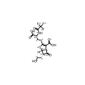 O=C(O)C1=C(SC[C@H](NC(=O)C(F)(F)F)C(=O)O)S[C@@H]2[C@@H](CCO)C(=O)N12